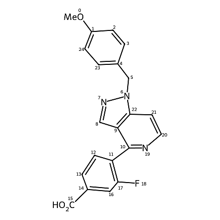 COc1ccc(Cn2ncc3c(-c4ccc(C(=O)O)cc4F)nccc32)cc1